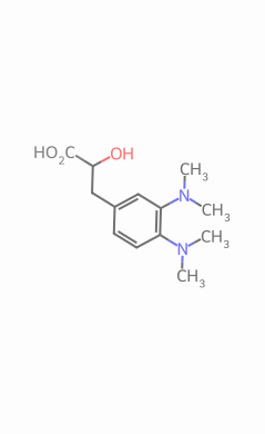 CN(C)c1ccc(CC(O)C(=O)O)cc1N(C)C